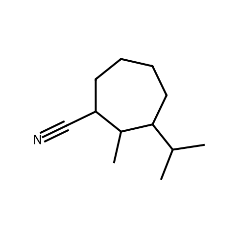 CC(C)C1CCCCC(C#N)C1C